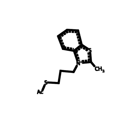 CC(=O)SCCC[n+]1c(C)sc2ccccc21